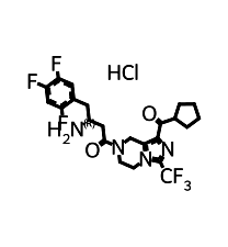 Cl.N[C@@H](CC(=O)N1CCn2c(C(F)(F)F)nc(C(=O)C3CCCC3)c2C1)Cc1cc(F)c(F)cc1F